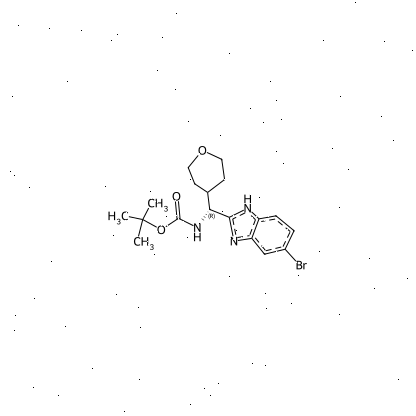 CC(C)(C)OC(=O)N[C@@H](c1nc2cc(Br)ccc2[nH]1)C1CCOCC1